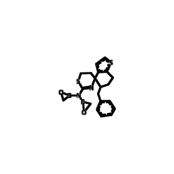 c1ccc(CC2CCc3sccc3C23CCSC(N(B2CO2)B2CO2)=N3)cc1